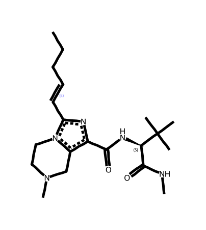 CCC/C=C/c1nc(C(=O)N[C@H](C(=O)NC)C(C)(C)C)c2n1CCN(C)C2